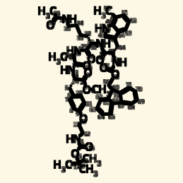 COC(=O)[C@H](Cc1ccc(OCCNC(=O)OC(C)(C)C)cc1)NC(=O)[C@H](C)NC(=O)[C@H](CCCCNC(C)=O)NC(=O)[C@H](Cc1c[nH]c2c(C)cccc12)NC(=O)OCC1c2ccccc2-c2ccccc21